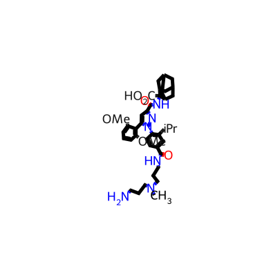 COc1cccc(OC)c1-c1cc(C(=O)NC2(C(=O)O)C3CC4CC(C3)CC2C4)nn1-c1ccc(C(=O)NCCCN(C)CCCN)cc1C(C)C